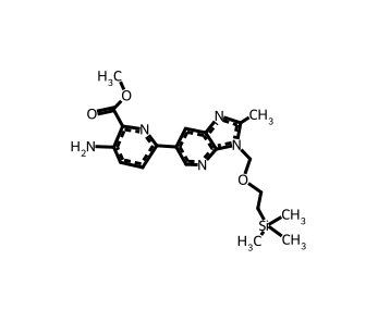 COC(=O)c1nc(-c2cnc3c(c2)nc(C)n3COCC[Si](C)(C)C)ccc1N